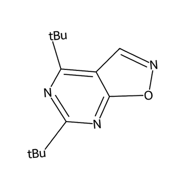 CC(C)(C)c1nc(C(C)(C)C)c2cnoc2n1